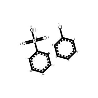 Clc1ccccc1.O=S(=O)(O)c1ccccc1